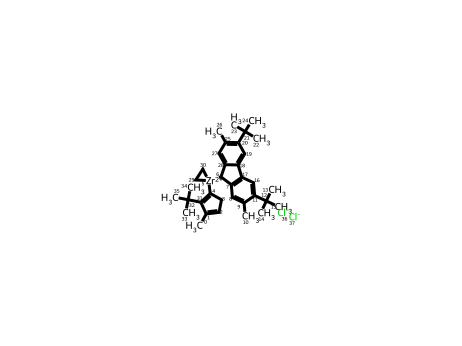 CC1=CC[C]([Zr+2]2([CH]3c4cc(C)c(C(C)(C)C)cc4-c4cc(C(C)(C)C)c(C)cc43)[CH2][CH2]2)=C1C(C)(C)C.[Cl-].[Cl-]